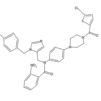 N#Cc1ccc(Cn2cncc2CN(C(=O)c2ccccc2[N+](=O)[O-])c2ccc(N3CCN(C(=O)c4ccc(Cl)s4)CC3)cc2)cc1